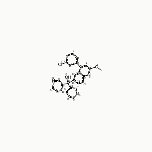 COc1cc(-c2cccc(Cl)c2)c2cc(C(O)(c3cccnc3)c3cccnc3)ccc2n1